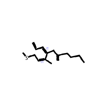 C=C/C=C(CC(=C)CCCC)\C(C)=C/CSC